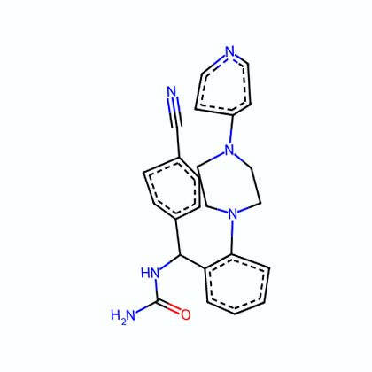 N#Cc1ccc(C(NC(N)=O)c2ccccc2N2CCN(c3ccncc3)CC2)cc1